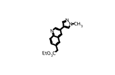 CCOC(=O)Cc1ccc2ncc(-c3cnn(C)c3)cc2c1